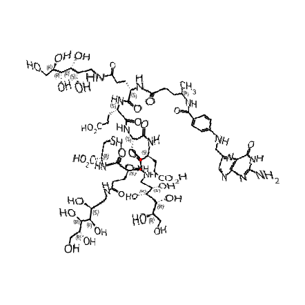 C[C@H](CCC(=O)N[C@@H](CCC(=O)NC[C@H](O)[C@@H](O)[C@H](O)[C@H](O)CO)C(=O)N[C@@H](CCC(=O)O)C(=O)N[C@@H](CCC(=O)NC[C@H](O)[C@@H](O)[C@H](O)[C@H](O)CO)C(=O)N[C@@H](CCC(=O)O)C(=O)N[C@@H](CCC(=O)NC[C@H](O)[C@@H](O)[C@H](O)[C@H](O)CO)C(=O)N[C@@H](CS)C(=O)O)NC(=O)c1ccc(NCc2cnc3nc(N)[nH]c(=O)c3n2)cc1